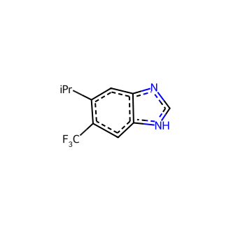 CC(C)c1cc2nc[nH]c2cc1C(F)(F)F